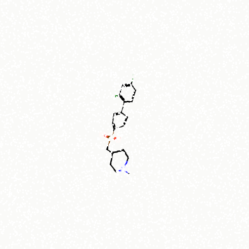 O=C(O)N1CCC(CS(=O)(=O)c2ccc(-c3ccc(F)cc3F)cc2)CC1